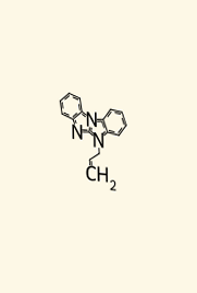 C=CCn1c2ccccc2n2c3ccccc3nc12